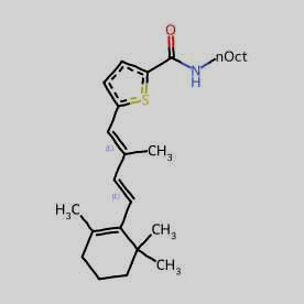 CCCCCCCCNC(=O)c1ccc(/C=C(C)/C=C/C2=C(C)CCCC2(C)C)s1